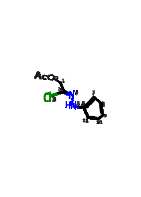 CC(=O)OCC(Cl)=NNc1ccccc1